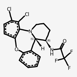 O=C(N[C@@H]1CCCN2c3c(ccc(Cl)c3Cl)Oc3ccccc3[C@@H]12)C(F)(F)F